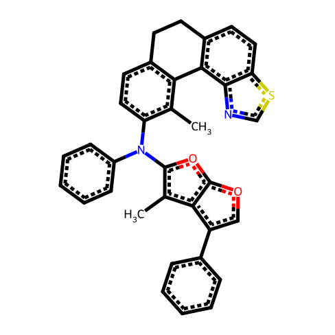 Cc1c(N(c2ccccc2)c2oc3occ(-c4ccccc4)c3c2C)ccc2c1-c1c(ccc3scnc13)CC2